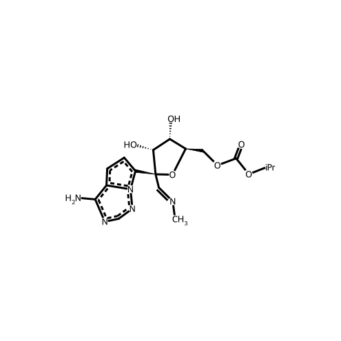 CN=C[C@@]1(c2ccc3c(N)ncnn23)O[C@H](COC(=O)OC(C)C)[C@@H](O)[C@H]1O